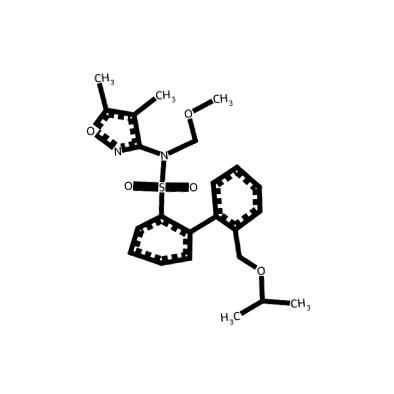 COCN(c1noc(C)c1C)S(=O)(=O)c1ccccc1-c1ccccc1COC(C)C